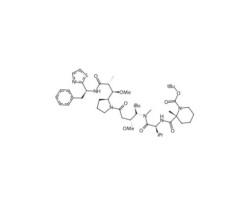 CC[C@H](C)[C@@H]([C@@H](CC(=O)N1CCC[C@H]1[C@H](OC)[C@@H](C)C(=O)N[C@@H](Cc1ccccc1)c1nccs1)OC)N(C)C(=O)[C@@H](NC(=O)[C@@]1(C)CCCCN1C(=O)OC(C)(C)C)C(C)C